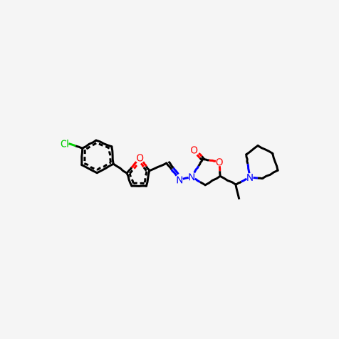 CC(C1CN(N=Cc2ccc(-c3ccc(Cl)cc3)o2)C(=O)O1)N1CCCCC1